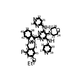 CCOc1cc(F)c(Cn2nc(-c3nc(Nc4ccncc4)c(N4CCOCC4)c(Nc4ccncn4)n3)c3ccccc32)c(F)c1